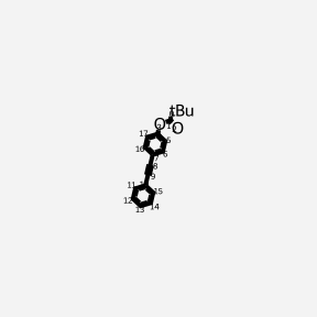 CC(C)(C)C(=O)Oc1ccc(C#Cc2ccccc2)cc1